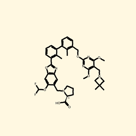 COc1nc(OCc2cccc(-c3cccc(-c4nc5cc(CN6CCC[C@H]6C(=O)O)c(OC(F)F)cc5o4)c3C)c2C)nc(OC)c1CN1CC(C)(C)C1